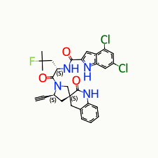 C#C[C@@H]1C[C@@]2(Cc3ccccc3NC2=O)CN1C(=O)[C@H](CC(C)(C)F)NC(=O)c1cc2c(Cl)cc(Cl)cc2[nH]1